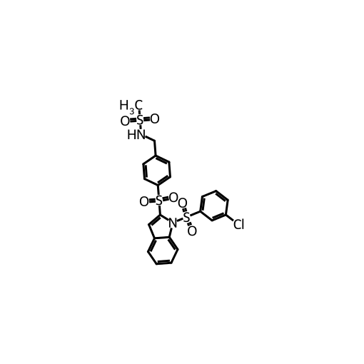 CS(=O)(=O)NCc1ccc(S(=O)(=O)c2cc3ccccc3n2S(=O)(=O)c2cccc(Cl)c2)cc1